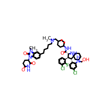 CN(CCCCCc1ccc2c(c1)n(C)c(=O)n2C1CCC(=O)NC1=O)CC12CCC(NC(=O)[C@@H]3NC4(CCCCC4)[C@H](c4ccc(Cl)cc4NCO)[C@H]3c3cccc(Cl)c3F)(CC1)CC2